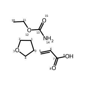 C1CCOC1.C=CC(=O)O.CCOC(N)=O